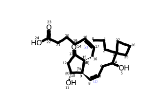 CCCC1(C(O)C/C=C\[C@H]2[C@H](O)CC(=O)[C@@H]2C/C=C\CCCC(=O)O)CCC1